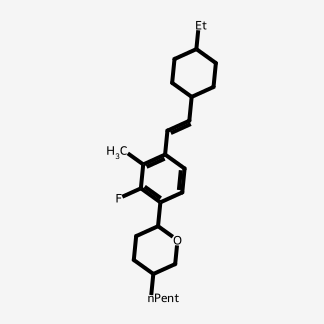 CCCCCC1CCC(c2ccc(/C=C/C3CCC(CC)CC3)c(C)c2F)OC1